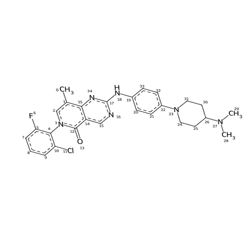 Cc1cn(-c2c(F)cccc2Cl)c(=O)c2cnc(Nc3ccc(N4CCC(N(C)C)CC4)cc3)nc12